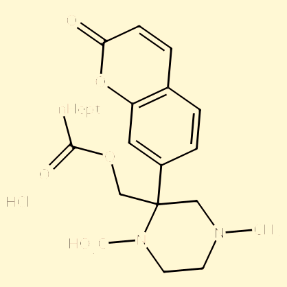 CCCCCCCC(=O)OCC1(c2ccc3ccc(=O)oc3c2)CN(C)CCN1C(=O)O.Cl